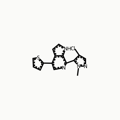 Cn1ncc(Cl)c1-c1ncc(-c2cccs2)c2cc[nH]c12